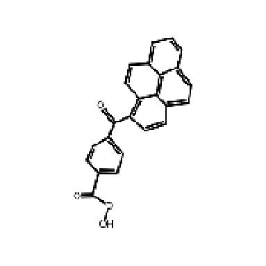 O=C(OO)c1ccc(C(=O)c2ccc3ccc4cccc5ccc2c3c45)cc1